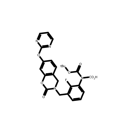 CC(C)(C)OC(=O)N(C(=O)O)c1cccc(CN2Cc3ccc(Oc4ncccn4)cc3OC2=O)c1F